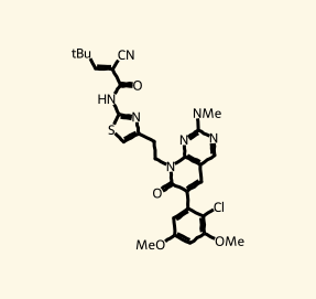 CNc1ncc2cc(-c3cc(OC)cc(OC)c3Cl)c(=O)n(CCc3csc(NC(=O)C(C#N)=CC(C)(C)C)n3)c2n1